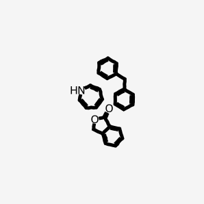 C1=CC=CNC=C1.O=C1OCc2ccccc21.c1ccc(Cc2ccccc2)cc1